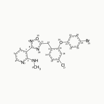 CNc1ncccc1-c1noc(Cc2ccc(Cl)cc2Oc2ccc(Br)cc2)n1